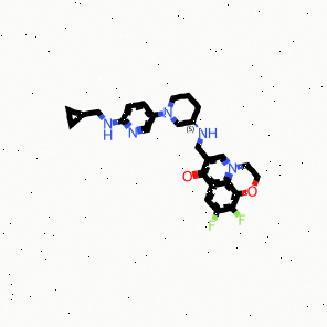 O=c1c(CN[C@H]2CCCN(c3ccc(NCC4CC4)nc3)C2)cn2c3c(c(F)c(F)cc13)OCC2